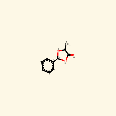 CC1O[C@H](c2ccccc2)OC1=O